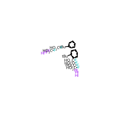 CC(C)(C)c1ccccc1.CC(C)(C)c1ccccc1.I.I.I.I.I.I.O=C(O)F.O=C(O)F.O=C(O)F.O=C(O)F.O=C(O)F.O=C(O)F